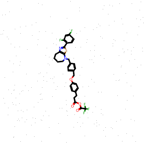 O=C(CCc1ccc(OCc2ccc(CN3CCCCc4nc(-c5ccc(F)cc5F)sc43)cc2)cc1)OC(=O)C(F)(F)F